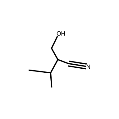 CC(C)C(C#N)CO